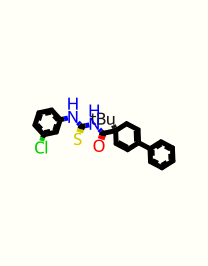 CC(C)(C)C1(C(=O)NC(=S)Nc2cccc(Cl)c2)C=CC(c2ccccc2)=CC1